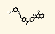 O=C(c1ccc(CCOCc2cccc(C(F)(F)F)c2)cc1)N1CCN(c2nc3ccccc3c(=O)[nH]2)CC1